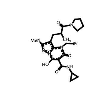 CNc1nn2c(O)c(C(=O)NC3CC3)c(=O)n(CC(C)C)c2c1CC(C)C(=O)N1CCCC1